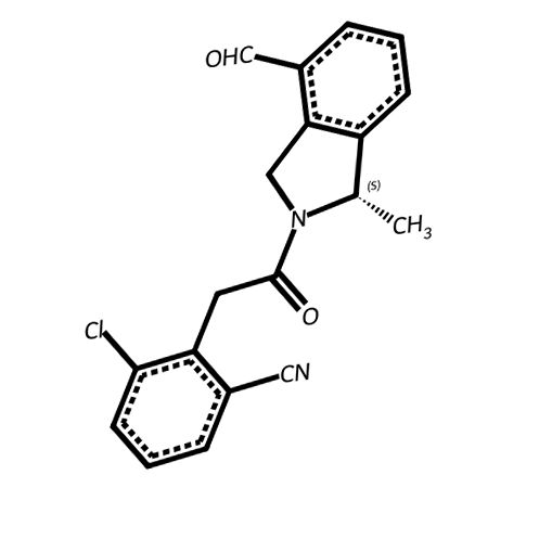 C[C@H]1c2cccc(C=O)c2CN1C(=O)Cc1c(Cl)cccc1C#N